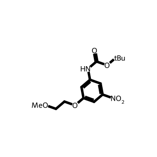 COCCOc1cc(NC(=O)OC(C)(C)C)cc([N+](=O)[O-])c1